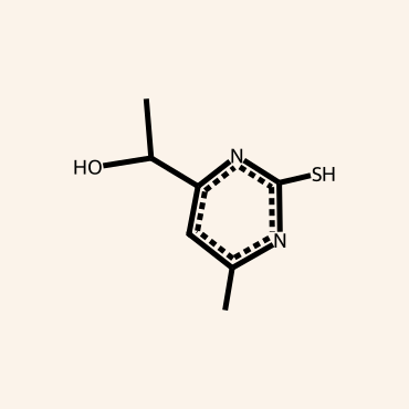 Cc1cc(C(C)O)nc(S)n1